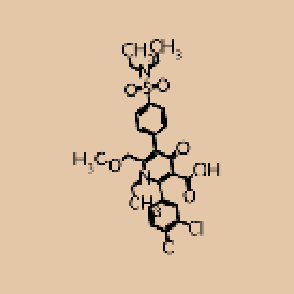 CCN(CC)S(=O)(=O)c1ccc(-c2c(COC)n(CC)c(-c3ccc(Cl)c(Cl)c3)c(C(=O)O)c2=O)cc1